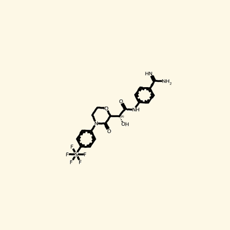 N=C(N)c1ccc(NC(=O)[C@H](O)C2OCCN(c3ccc(S(F)(F)(F)(F)F)cc3)C2=O)cc1